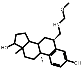 COCNC[C@@H]1CC2C3CCC(O)C3(C)CC[C@]2(C)c2ccc(O)cc21